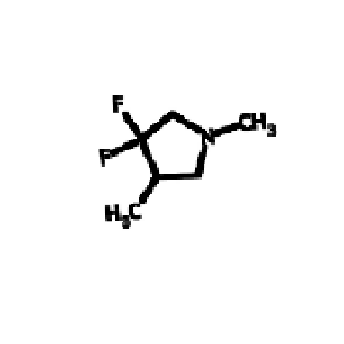 CC1CN(C)CC1(F)F